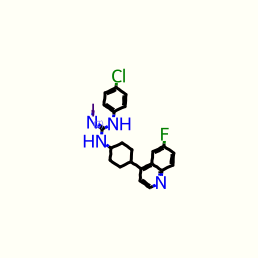 Fc1ccc2nccc(C3CCC(N/C(=N/I)Nc4ccc(Cl)cc4)CC3)c2c1